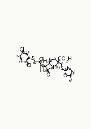 Cc1nnc(SCC2(C(=O)O)CS[C@@H]3C(NC(=O)CSc4cc(Cl)ccc4Cl)C(=O)N3C2)o1